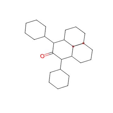 O=C(C(C1CCCCC1)C1CCCCC1)C(C1CCCCC1)C1CCCCC1